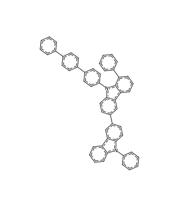 c1ccc(-c2ccc(-c3ccc(-n4c5ccc(-c6ccc7c(c6)c6ccccc6n7-c6ccccc6)cc5c5cccc(-c6ccccc6)c54)cc3)cc2)cc1